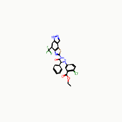 CCOC(=O)c1cc(NC(C(=O)Nc2nc3c(C(F)(F)F)cc4[nH]ncc4c3s2)c2ccccc2)ccc1Cl